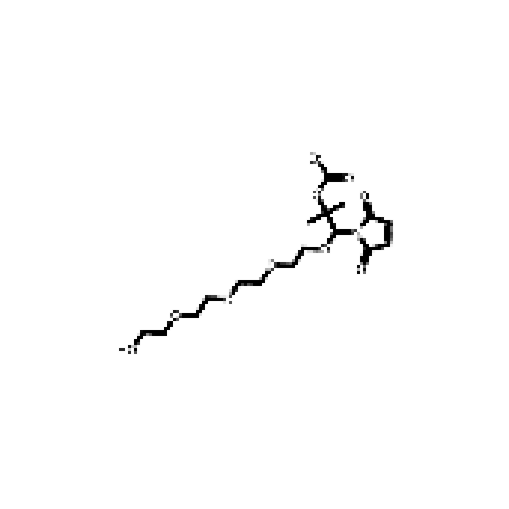 CCC(=O)OC(C)(C)C(OCCOCCOCCOCCO)N1C(=O)C=CC1=O